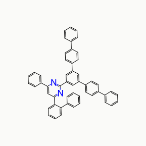 c1ccc(-c2ccc(-c3cc(-c4ccc(-c5ccccc5)cc4)cc(-c4nc(-c5ccccc5)cc(-c5ccccc5-c5ccccc5)n4)c3)cc2)cc1